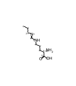 CCSN=CNCCC[C@H](N)C(=O)O